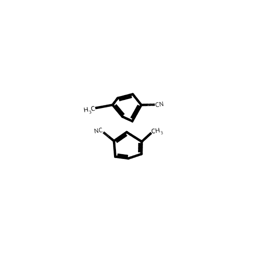 Cc1ccc(C#N)cc1.Cc1cccc(C#N)c1